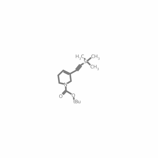 CC(C)(C)OC(=O)N1CCC=C(C#C[Si](C)(C)C)C1